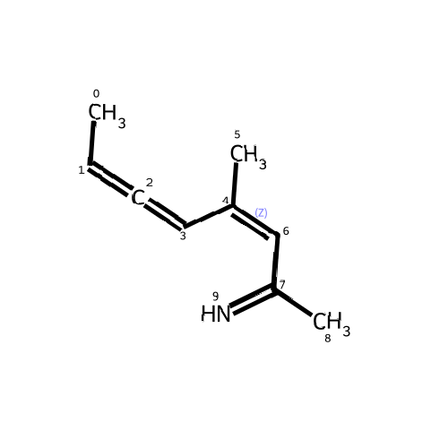 CC=C=C/C(C)=C\C(C)=N